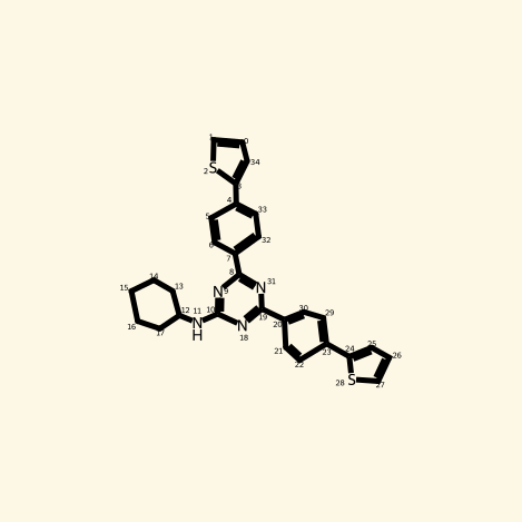 c1csc(-c2ccc(-c3nc(NC4CCCCC4)nc(-c4ccc(-c5cccs5)cc4)n3)cc2)c1